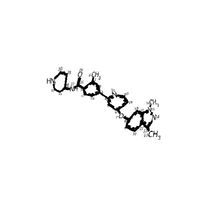 Cc1cc(-c2cc(Oc3ccc4c(C)nn(C)c4c3)ccn2)ccc1C(=O)NC1CCNCC1